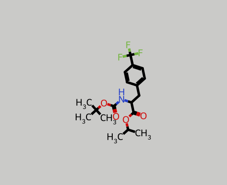 CC(C)OC(=O)C(Cc1ccc(C(F)(F)F)cc1)NC(=O)OC(C)(C)C